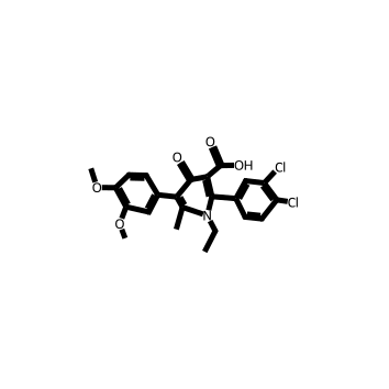 CCn1c(C)c(-c2ccc(OC)c(OC)c2)c(=O)c(C(=O)O)c1-c1ccc(Cl)c(Cl)c1